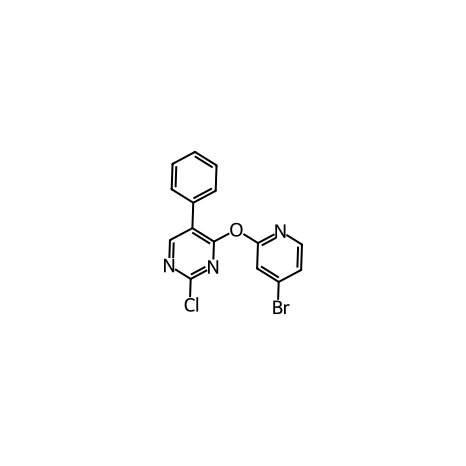 Clc1ncc(-c2ccccc2)c(Oc2cc(Br)ccn2)n1